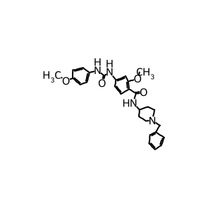 COc1ccc(NC(=O)Nc2ccc(C(=O)NC3CCN(Cc4ccccc4)CC3)c(OC)c2)cc1